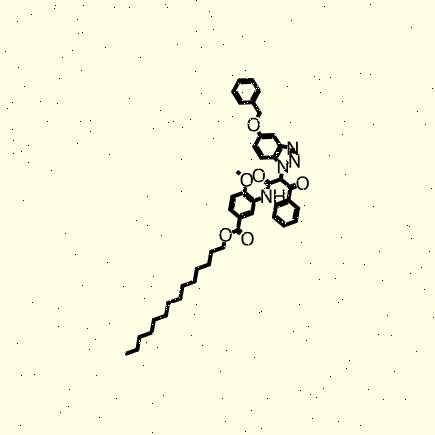 CCCCCCCCCCCCCCOC(=O)c1ccc(OC)c(NC(=O)C(C(=O)c2ccccc2)n2nnc3cc(OCc4ccccc4)ccc32)c1